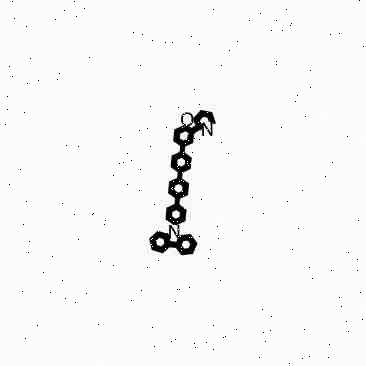 c1cnc2c(c1)oc1ccc(-c3ccc(-c4ccc(-c5ccc(-n6c7ccccc7c7ccccc76)cc5)cc4)cc3)cc12